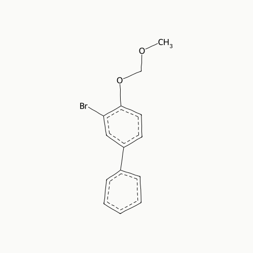 COCOc1ccc(-c2ccccc2)cc1Br